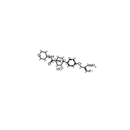 Cl.NC/C(=C\F)COc1ccc(C23CCC(C(=O)NC4CCOCC4)(CC2)CC3)cc1